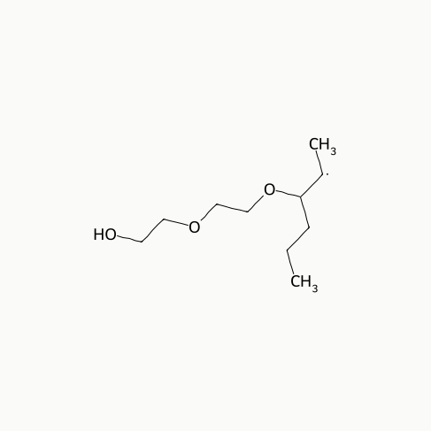 C[CH]C(CCC)OCCOCCO